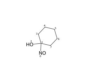 O=NC1(O)CCCCC1